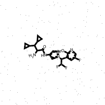 COc1ncc(F)cc1C(C(F)F)n1cc(NC(=O)C(N)C(C2CC2)C2CC2)cn1